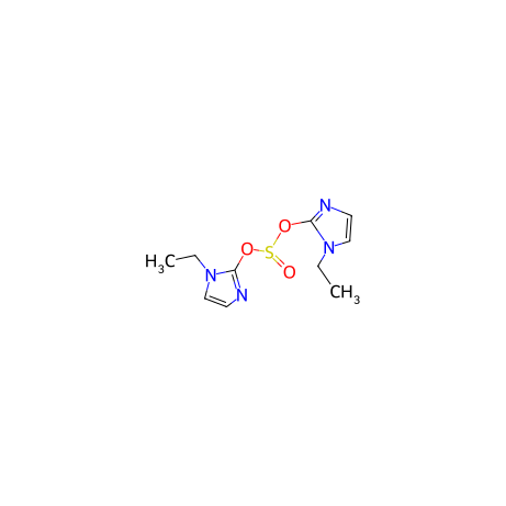 CCn1ccnc1OS(=O)Oc1nccn1CC